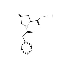 COC(=O)C1CC(=O)CN1C(=O)Cc1ccccc1